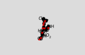 CC1(C)CCC(CN2CCN(c3ccc(C(=O)NS(=O)(=O)c4ccc(NC[C@]5(F)COCCO5)c([N+](=O)[O-])c4)c(N4CC(F)(F)Oc5nc6[nH]ccc6cc54)c3)CC2)=C(c2ccc(Cl)cc2)C1